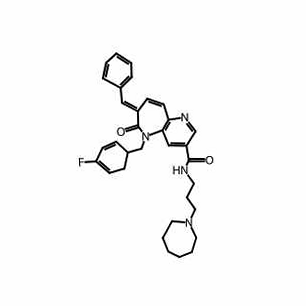 O=C(NCCCN1CCCCCC1)c1cnc2c(c1)N(CC1C=CC(F)=CC1)C(=O)/C(=C/c1ccccc1)C=C2